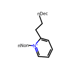 CCCCCCCCCCCCc1cccc[n+]1CCCCCCCCC